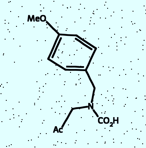 COc1ccc(CN(CC(C)=O)C(=O)O)cc1